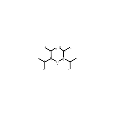 CC(C)B(OB(C(C)C)C(C)C)C(C)C